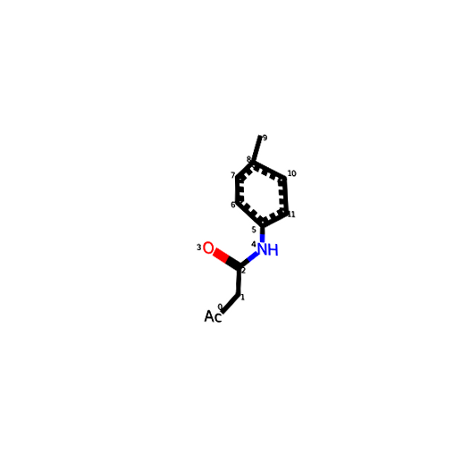 CC(=O)CC(=O)Nc1ccc(C)cc1